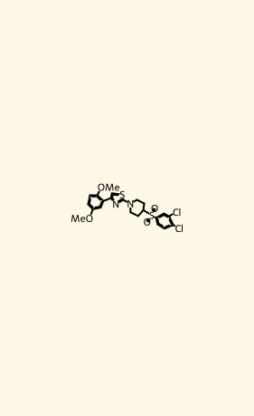 COc1ccc(OC)c(-c2csc(N3CCC(S(=O)(=O)c4ccc(Cl)c(Cl)c4)CC3)n2)c1